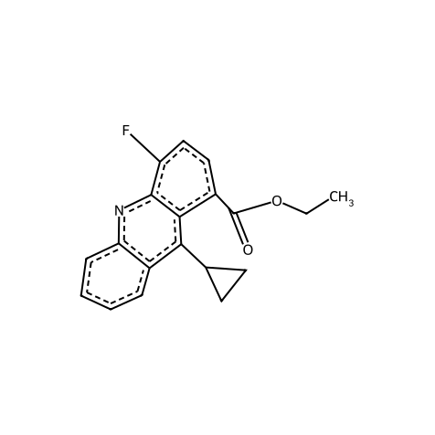 CCOC(=O)c1ccc(F)c2nc3ccccc3c(C3CC3)c12